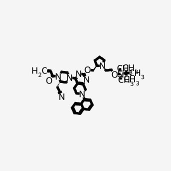 C=CC(=O)N1CCN(c2nc(OC[C@H]3CCCN3CCO[Si](C)(C)C(C)(C)C)nc3c2CCN(c2cccc4ccccc24)C3)C[C@@H]1CC#N